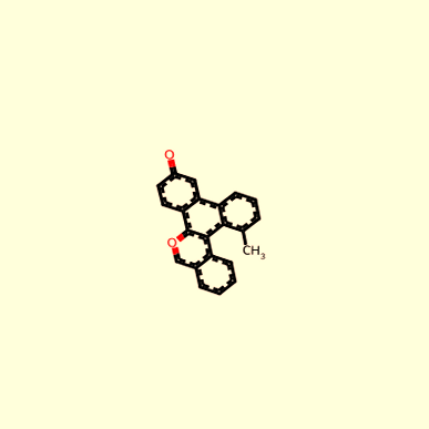 Cc1cccc2c3cc(=O)ccc3c3occ4ccccc4c3c12